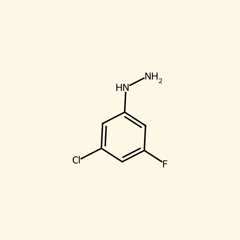 NNc1cc(F)cc(Cl)c1